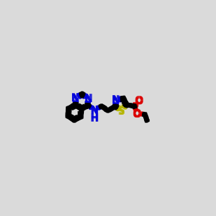 CCOC(=O)c1cnc(CCNc2ncnc3ccccc23)s1